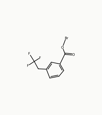 O=C(OBr)c1cccc(CC(F)(F)F)c1